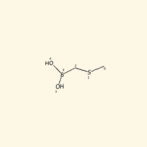 CSCB(O)O